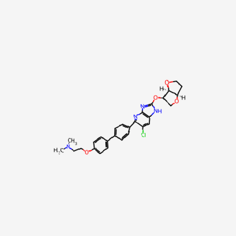 CN(C)CCOc1ccc(-c2ccc(-c3nc4nc(O[C@@H]5CO[C@@H]6CCO[C@@H]65)[nH]c4cc3Cl)cc2)cc1